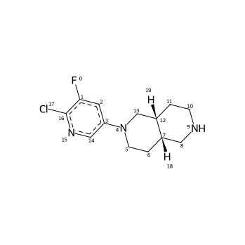 Fc1cc(N2CC[C@H]3CNCC[C@H]3C2)cnc1Cl